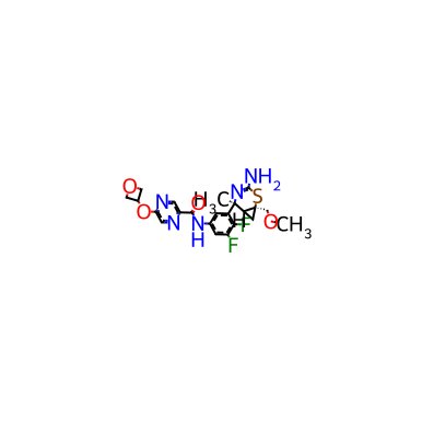 COC[C@]12C[C@H]1[C@@](C)(c1cc(NC(=O)c3cnc(OC4COC4)cn3)cc(F)c1F)N=C(N)S2